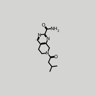 CC(C)CC(=O)N1CCc2[c]nc(C(N)=O)nc2C1